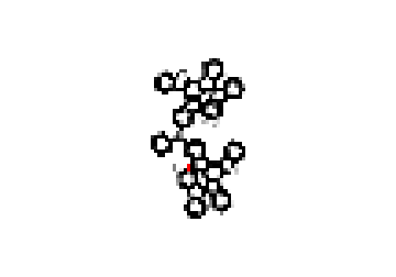 CC1(C)c2cc(N(c3ccccc3)c3ccc4c(c3)C(C)(C)c3c5c(c6oc7ccccc7c6c3-4)-c3ccccc3C53c4ccccc4-c4ccccc43)ccc2-c2c1c1c(c3oc4ccccc4c23)-c2ccccc2C12c1ccccc1-c1ccccc12